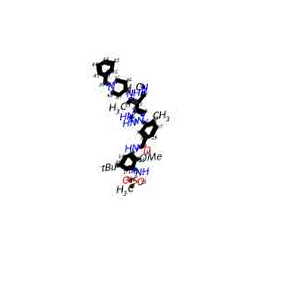 C/N=C\C(C1=CN(c2cc(C(=O)Nc3cc(C(C)(C)C)cc(NS(C)(=O)=O)c3OC)ccc2C)NN1)=C(\C)NC1CCN(Cc2ccccc2)CC1